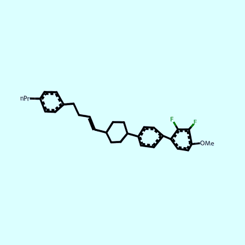 CCCc1ccc(CC/C=C/C2CCC(c3ccc(-c4ccc(OC)c(F)c4F)cc3)CC2)cc1